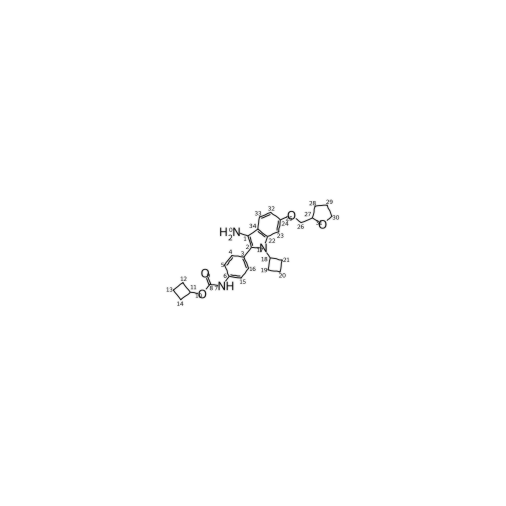 Nc1c(-c2ccc(NC(=O)OC3CCC3)cc2)n(C2CCC2)c2cc(OCC3CCCO3)ccc12